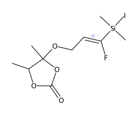 CC1OC(=O)OC1(C)OC/C=C(\F)[Si](C)(C)I